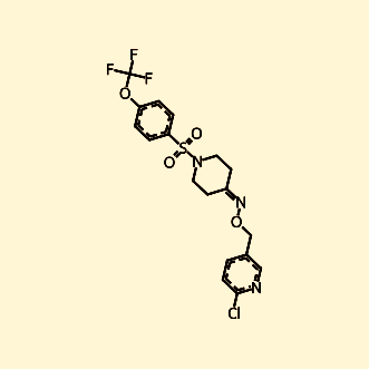 O=S(=O)(c1ccc(OC(F)(F)F)cc1)N1CCC(=NOCc2ccc(Cl)nc2)CC1